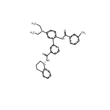 CCN(CC)c1ccc(NC(=O)c2cccc(C)c2)c(-c2cc(C(=O)N[C@H]3CCCc4ccccc43)ccn2)c1